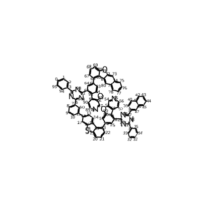 c1ccc(-c2nc(-c3cccc(-c4ccc5c(c4)sc4cccc(-c6cc(-c7nc(-c8ccccc8)nc(-c8ccc9ccccc9c8)n7)c7c(c6)oc6cnccc67)c45)c3)nc(-c3cc(-c4cccc5oc6cc7ccccc7cc6c45)cc4oc5cnccc5c34)n2)cc1